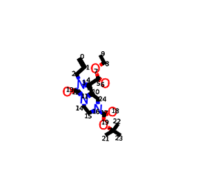 C=CCn1c(C(=O)OCC)c2n(c1=O)CCN(C(=O)OC(C)(C)C)C2